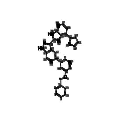 c1ccc(COc2cncc(-c3cc4c(-c5nc6c(-c7cccs7)ccnc6[nH]5)n[nH]c4cn3)c2)cc1